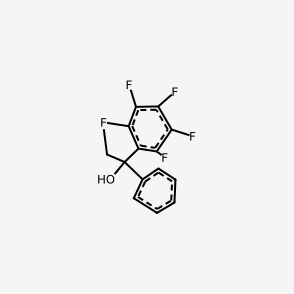 CCC(O)(c1ccccc1)c1c(F)c(F)c(F)c(F)c1F